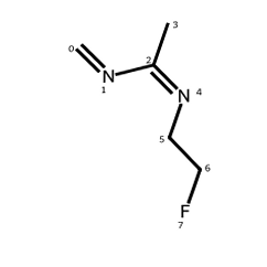 C=N/C(C)=N\CCF